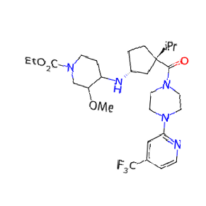 CCOC(=O)N1CCC(N[C@@H]2CC[C@@](C(=O)N3CCN(c4cc(C(F)(F)F)ccn4)CC3)(C(C)C)C2)C(OC)C1